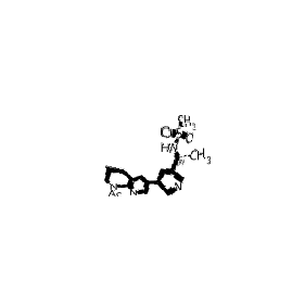 CC(=O)N1CCCc2cc(-c3cncc([C@@H](C)NS(C)(=O)=O)c3)cnc21